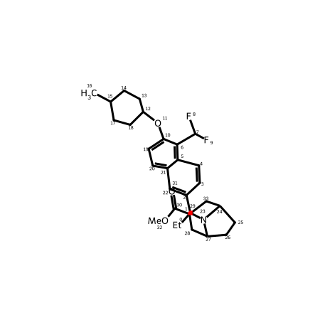 CCC(c1ccc2c(C(F)F)c(OC3CCC(C)CC3)ccc2c1)N1C2CCC1CC(C(=O)OC)C2